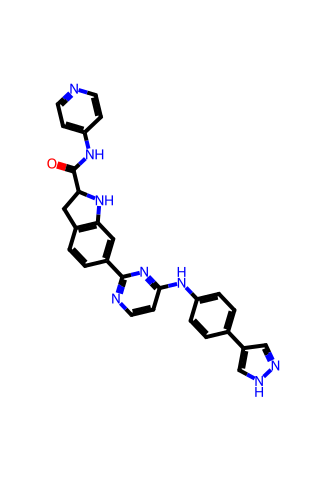 O=C(Nc1ccncc1)C1Cc2ccc(-c3nccc(Nc4ccc(-c5cn[nH]c5)cc4)n3)cc2N1